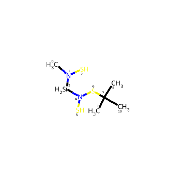 CN(S)[SiH2]N(S)SC(C)(C)C